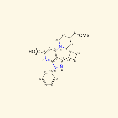 COCC1CCN(c2cc(C(=O)O)nc3c2c(C2CCC2)nn3-c2ccccc2)CC1